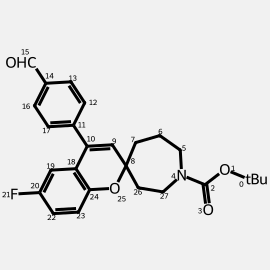 CC(C)(C)OC(=O)N1CCCC2(C=C(c3ccc(C=O)cc3)c3cc(F)ccc3O2)CC1